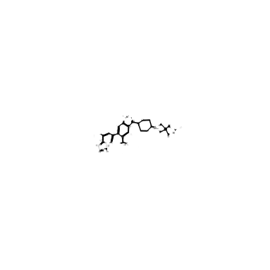 Cc1cc(-c2cc3[nH]nc(C4CCC(N5CC6(C5)CS(=O)(=O)C6)CC4)c3cc2C(C)C)cn2ncnc12